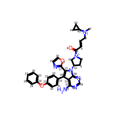 CN(C/C=C/C(=O)N1CC[C@@H](n2c(-c3ncco3)c(-c3ccc(Oc4ccccc4)cc3)c3c(N)ncnc32)C1)C1CC1